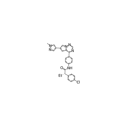 CC[C@H](C(=O)Nc1ccc(-c2ncnn3cc(-c4cnn(C)c4)cc23)cc1)c1ccc(Cl)cc1